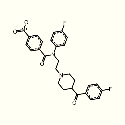 O=C(c1ccc(F)cc1)C1CCN(CCN(C(=O)c2ccc([N+](=O)[O-])cc2)c2ccc(F)cc2)CC1